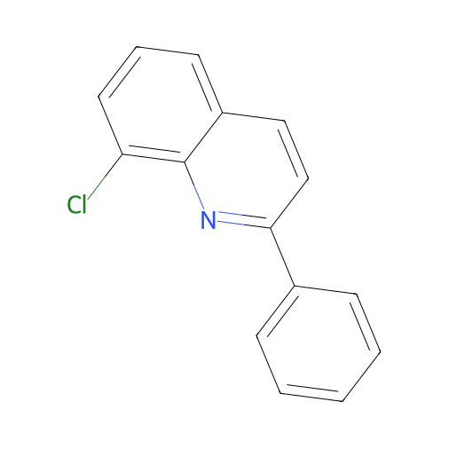 Clc1cccc2ccc(-c3ccccc3)nc12